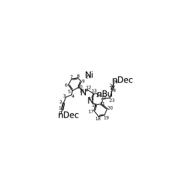 CCCCCCCCCCC#CCCc1ccccc1N=CC(CCCC)=Nc1ccccc1CCC#CCCCCCCCCCC.[Ni]